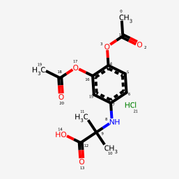 CC(=O)Oc1ccc(NC(C)(C)C(=O)O)cc1OC(C)=O.Cl